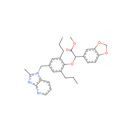 CCCc1cc(Cn2c(C)nc3ncccc32)cc(CCC)c1OC(C(=O)OC)c1ccc2c(c1)OCO2